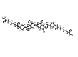 C=CC(=O)OCCCCOC(=O)Oc1ccc(C(=O)Oc2cc3c(=O)oc(-c4cc(Cl)c(OC(=O)c5ccc(OC(=O)OCCCCOC(=O)C=C)cc5)c(Cl)c4)nc3cc2C)cc1